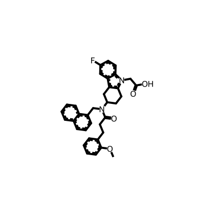 COc1ccccc1CCC(=O)N(Cc1cccc2ccccc12)C1CCc2c(c3cc(F)ccc3n2CC(=O)O)C1